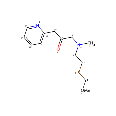 COCSCCN(C)CC(=O)Cc1ccccn1